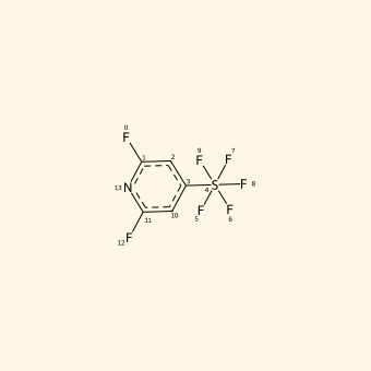 Fc1cc(S(F)(F)(F)(F)F)cc(F)n1